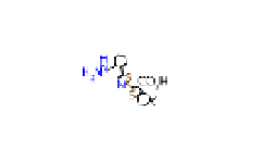 CC1(C)CCc2sc(-c3ncc(-c4ccccc4CNN)s3)c(C(=O)O)c2C1